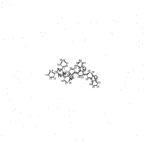 c1ccc(-c2nc(-c3ccccc3)nc(-c3cccc4oc5c(-c6ccc(-c7ccc8oc9ccccc9c8c7)c7oc8ccccc8c67)cccc5c34)n2)cc1